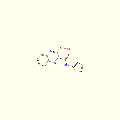 CC(C)(C)Oc1nc2ccccc2nc1C(=O)Nc1cccs1